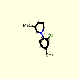 COC1CCCN(c2ccc([N+](=O)[O-])cc2Cl)C1